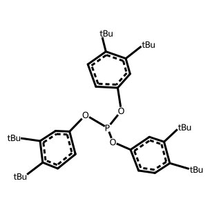 CC(C)(C)c1ccc(OP(Oc2ccc(C(C)(C)C)c(C(C)(C)C)c2)Oc2ccc(C(C)(C)C)c(C(C)(C)C)c2)cc1C(C)(C)C